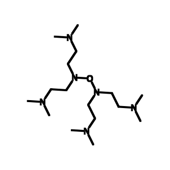 CN(C)CCN(CCN(C)C)ON(CCN(C)C)CCN(C)C